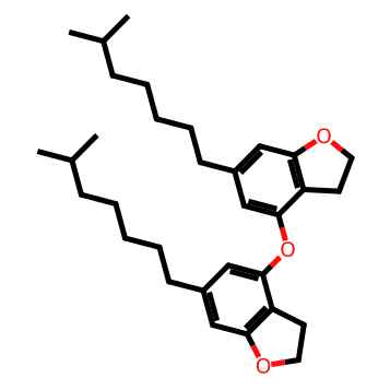 CC(C)CCCCCc1cc2c(c(Oc3cc(CCCCCC(C)C)cc4c3CCO4)c1)CCO2